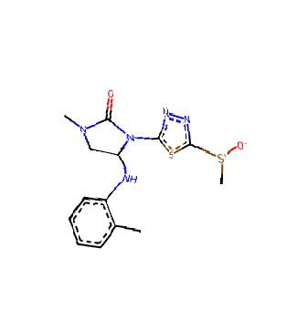 Cc1ccccc1NC1CN(C)C(=O)N1c1nnc([S+](C)[O-])s1